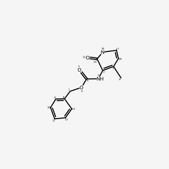 CC1=C(NC(=O)OCc2ccccc2)C(=O)[N]C=C1